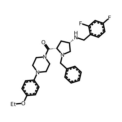 CCOc1ccc(N2CCN(C(=O)[C@@H]3C[C@H](NCc4ccc(F)cc4F)CN3Cc3ccccc3)CC2)cc1